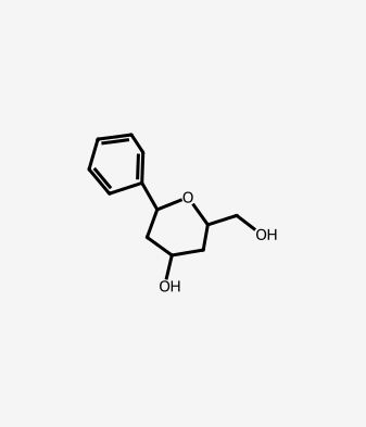 OCC1CC(O)CC(c2ccccc2)O1